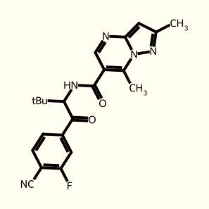 Cc1cc2ncc(C(=O)NC(C(=O)c3ccc(C#N)c(F)c3)C(C)(C)C)c(C)n2n1